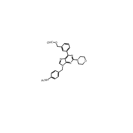 CC(=O)Nc1ccc(Cn2cnc3c(-c4cccc(COC=O)c4)nc(N4CCOCC4)nc32)cc1